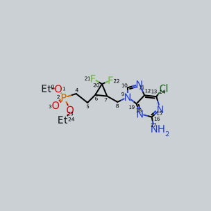 CCOP(=O)(CCC1C(Cn2cnc3c(Cl)nc(N)nc32)C1(F)F)OCC